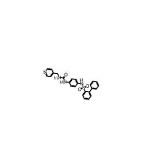 O=C(NCc1ccncc1)Nc1ccc(NS(=O)(=O)c2ccccc2-c2ccccc2)cc1